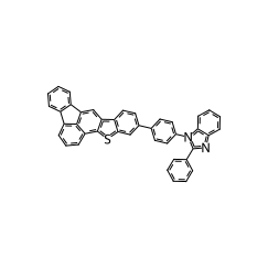 c1ccc(-c2nc3ccccc3n2-c2ccc(-c3ccc4c(c3)sc3c5cccc6c5c(cc43)-c3ccccc3-6)cc2)cc1